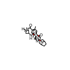 Cc1cc(C(=O)NC2CC3CCC(C2)N3c2ccc(C(=O)NC3CN(C)C3)cn2)c(C)cc1C(N)=O